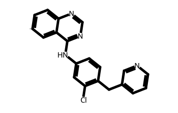 Clc1cc(Nc2ncnc3cc[c]cc23)ccc1Cc1cccnc1